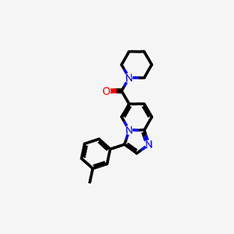 Cc1cccc(-c2cnc3ccc(C(=O)N4CCCCC4)cn23)c1